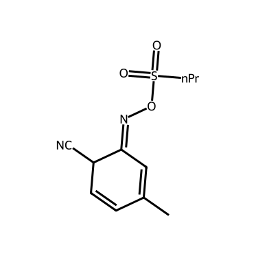 CCCS(=O)(=O)ON=C1C=C(C)C=CC1C#N